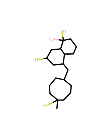 BC1(S)CCCC2C(CC3CCCC(C)(S)CCC3)CC(S)CC21